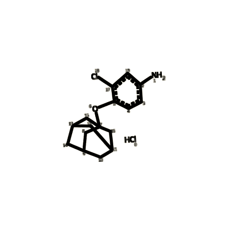 Cl.Nc1ccc(OC23CC4CC(CC(C4)C2)C3)c(Cl)c1